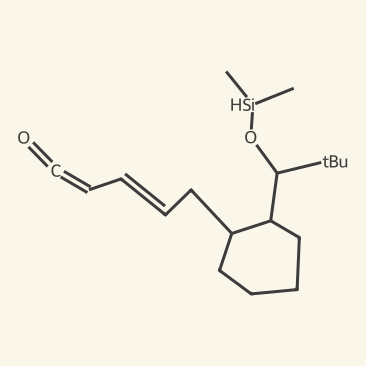 C[SiH](C)OC(C1CCCCC1CC=CC=C=O)C(C)(C)C